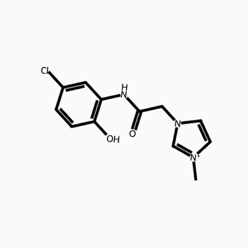 C[n+]1ccn(CC(=O)Nc2cc(Cl)ccc2O)c1